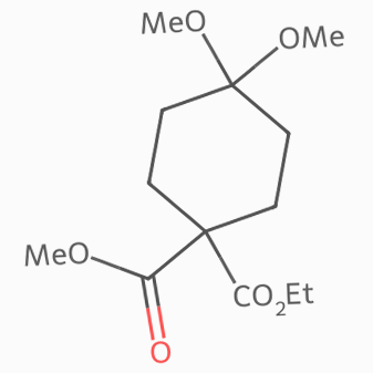 CCOC(=O)C1(C(=O)OC)CCC(OC)(OC)CC1